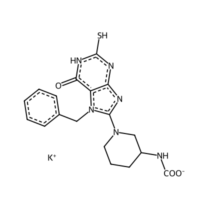 O=C([O-])NC1CCCN(c2nc3nc(S)[nH]c(=O)c3n2Cc2ccccc2)C1.[K+]